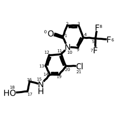 O=c1ccc(C(F)(F)F)cn1-c1ccc(NCCO)cc1Cl